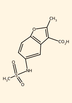 Cc1oc2ccc(NS(C)(=O)=O)cc2c1C(=O)O